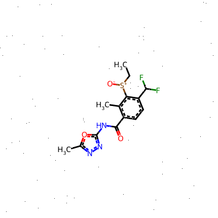 CC[S+]([O-])c1c(C(F)F)ccc(C(=O)Nc2nnc(C)o2)c1C